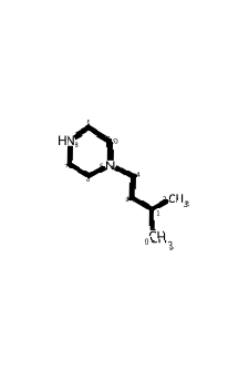 CC(C)[CH]CN1CCNCC1